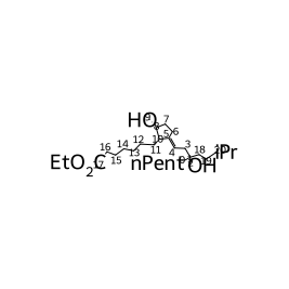 CCCCCC(O)(CC=C1CC[C@@H](O)[C@@H]1CCCCCCC(=O)OCC)CCC(C)C